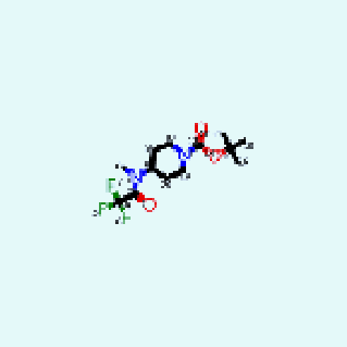 CN(C(=O)C(F)(F)F)C1CCN(C(=O)OC(C)(C)C)CC1